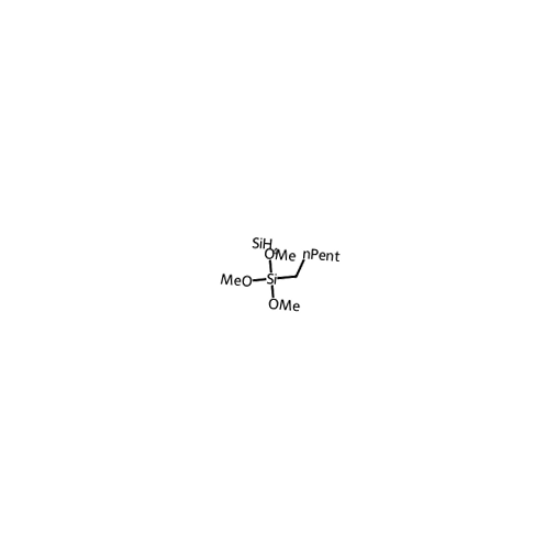 CCCCCC[Si](OC)(OC)OC.[SiH4]